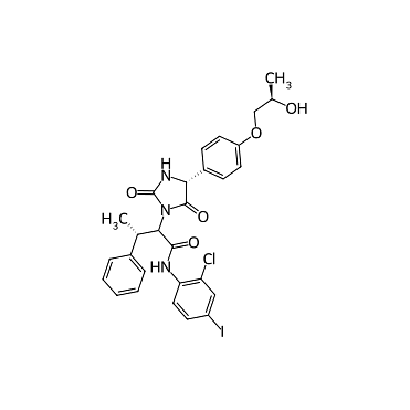 C[C@@H](O)COc1ccc([C@H]2NC(=O)N(C(C(=O)Nc3ccc(I)cc3Cl)[C@@H](C)c3ccccc3)C2=O)cc1